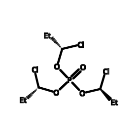 CC[C@H](Cl)OP(=O)(O[C@@H](Cl)CC)O[C@@H](Cl)CC